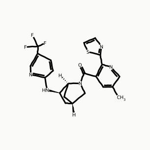 Cc1cnc(-c2nccs2)c(C(=O)N2C[C@@H]3C[C@@H](Nc4ccc(C(F)(F)F)cn4)[C@@H]2C3)c1